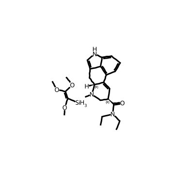 CCN(CC)C(=O)[C@@H]1C=C2c3cccc4[nH]cc(c34)C[C@H]2N(C)C1.COC([SiH3])=C(OC)OC